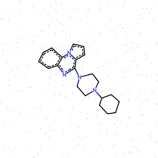 c1ccc2c(c1)nc(N1CCN(C3CCCCC3)CC1)c1cccn12